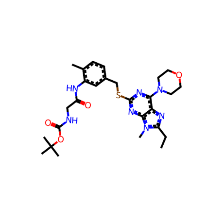 CCc1nc2c(N3CCOCC3)nc(SCc3ccc(C)c(NC(=O)CNC(=O)OC(C)(C)C)c3)nc2n1C